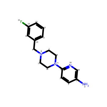 Nc1ccc(N2CCN(Cc3cccc(F)c3)CC2)nc1